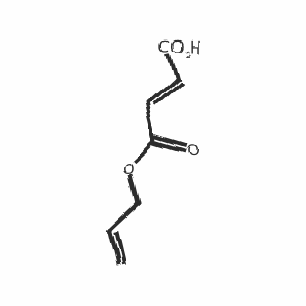 C=CCOC(=O)/C=C/C(=O)O